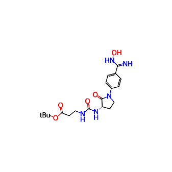 CC(C)(C)OC(=O)CCNC(=O)N[C@H]1CCN(c2ccc(C(=N)NO)cc2)C1=O